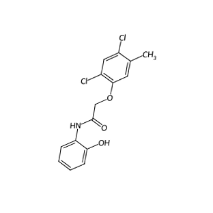 Cc1cc(OCC(=O)Nc2ccccc2O)c(Cl)cc1Cl